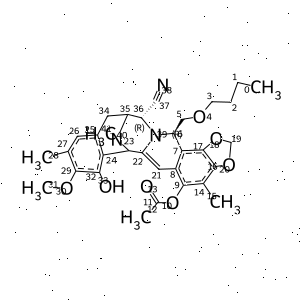 CCCCOC[C@H]1c2c(c(OC(C)=O)c(C)c3c2OCO3)C=C2C3c4c(cc(C)c(OC)c4O)CC([C@H](C#N)N21)N3C